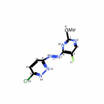 COc1ncc(F)c(/N=N/c2ccc(Cl)nn2)n1